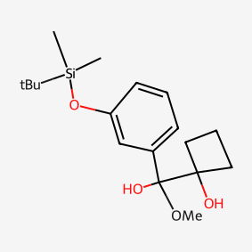 COC(O)(c1cccc(O[Si](C)(C)C(C)(C)C)c1)C1(O)CCC1